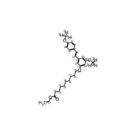 [2H]C([2H])([2H])Oc1ccc(/C=C/c2cc(OCCCCCCCCCC(=O)OCC)cc(OC([2H])([2H])[2H])c2)cc1